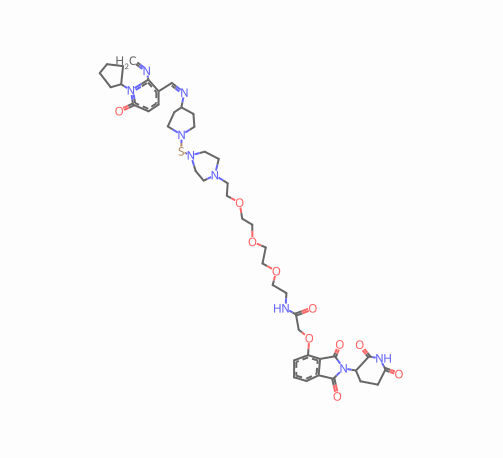 C=Nc1c(/C=N\C2CCN(SN3CCN(CCOCCOCCOCCNC(=O)COc4cccc5c4C(=O)N(C4CCC(=O)NC4=O)C5=O)CC3)CC2)ccc(=O)n1C1CCCC1